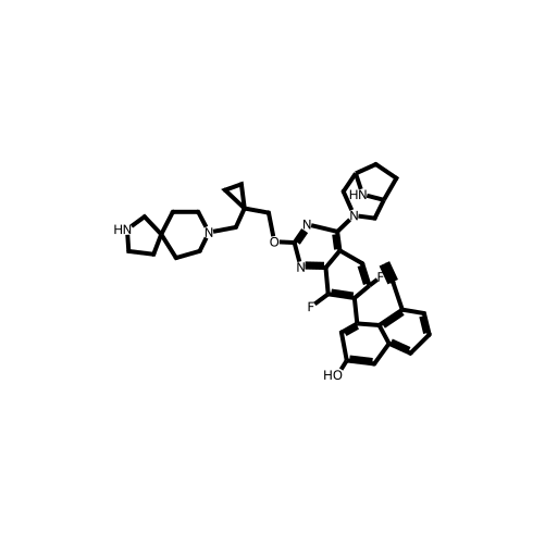 C#Cc1cccc2cc(O)cc(-c3c(F)cc4c(N5CC6CCC(C5)N6)nc(OCC5(CN6CCC7(CCNC7)CC6)CC5)nc4c3F)c12